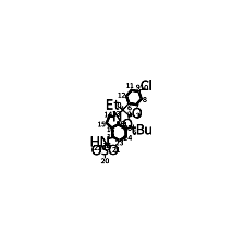 CCC(C(=O)OC(C)(C)C)(c1ccc(Cl)cc1)n1ccc2c(NS(C)(=O)=O)cccc21